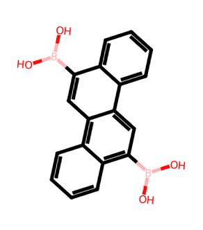 OB(O)c1cc2c3ccccc3c(B(O)O)cc2c2ccccc12